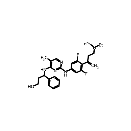 C=C(CCN(CC)CCC)c1c(F)cc(Nc2ncc(C(F)(F)F)c(NC(CCO)c3ccccc3)n2)cc1F